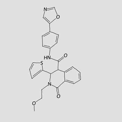 COCCN1C(=O)c2ccccc2C(C(=O)Nc2ccc(-c3cnco3)cc2)C1c1cccs1